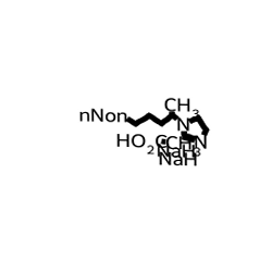 CC(=O)O.CCCCCCCCCCCCC(C)N1C=NCC1.[NaH].[NaH]